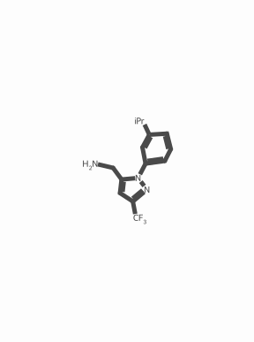 CC(C)c1cccc(-n2nc(C(F)(F)F)cc2CN)c1